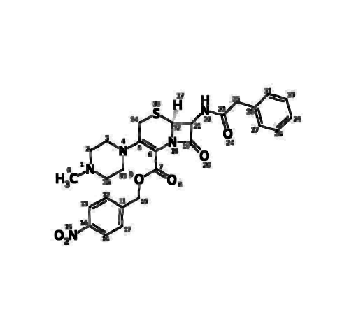 CN1CCN(C2=C(C(=O)OCc3ccc([N+](=O)[O-])cc3)N3C(=O)C(NC(=O)Cc4ccccc4)[C@@H]3SC2)CC1